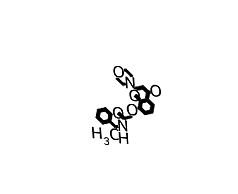 CC(NC(=O)COc1cccc2c(=O)cc(N3CCOCC3)oc12)c1ccccc1